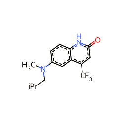 CC(C)CN(C)c1ccc2[nH]c(=O)cc(C(F)(F)F)c2c1